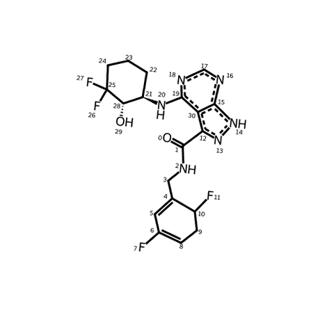 O=C(NCC1=CC(F)=CCC1F)c1n[nH]c2ncnc(N[C@@H]3CCCC(F)(F)[C@H]3O)c12